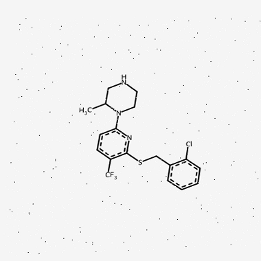 CC1CNCCN1c1ccc(C(F)(F)F)c(SCc2ccccc2Cl)n1